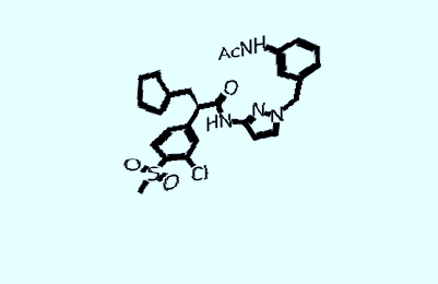 CC(=O)Nc1cccc(Cn2ccc(NC(=O)[C@H](CC3CCCC3)c3ccc(S(C)(=O)=O)c(Cl)c3)n2)c1